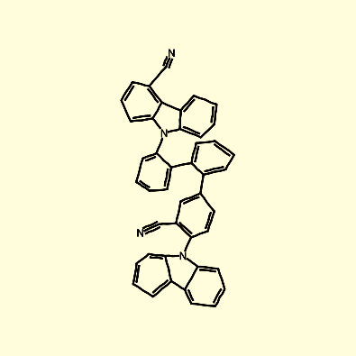 N#Cc1cc(-c2ccccc2-c2ccccc2-n2c3ccccc3c3c(C#N)cccc32)ccc1-n1c2ccccc2c2ccccc21